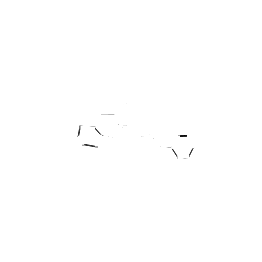 CC(=O)c1ccc2c(c1)CN(CCNCc1ccccc1)C(CC(C)C)C2